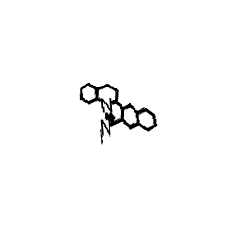 CC12C3CC4CCCCC4CC3C3CCC4CCCCC4N3C1(C)N2I